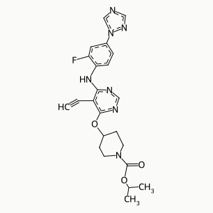 C#Cc1c(Nc2ccc(-n3cncn3)cc2F)ncnc1OC1CCN(C(=O)OC(C)C)CC1